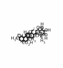 CC1O[C@@H]([C@H](O)[C@H]2CC[C@@]3(C)C(CC[C@]4(C)C3CC=C3C5CC(C)(C)CC[C@]5(C(=O)O)CC[C@]34C)C2(C)C)C(O)C(O)[C@H]1O